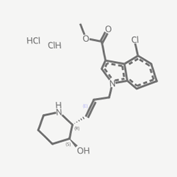 COC(=O)c1cn(C/C=C/[C@H]2NCCC[C@@H]2O)c2cccc(Cl)c12.Cl.Cl